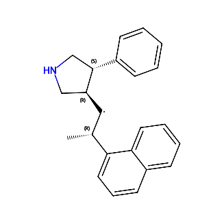 C[C@H]([CH][C@H]1CNC[C@@H]1c1ccccc1)c1cccc2ccccc12